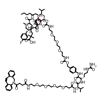 CCCCCCN(C(=O)[C@@H](NC(=O)[C@H]1CCCCN1C)[C@@H](C)CC)[C@H](C[C@@H](OC(=O)NCCOCCOCCOCCNC(=O)OCc1ccc(NC(=O)[C@H](CCCNC(N)=O)NC(=O)[C@@H](NC(=O)CCOCCOCCOCCOCCNC(=O)CCC(=O)N2Cc3ccccc3C#Cc3ccccc32)C(C)C)cc1)c1nc(C(=O)N[C@@H](Cc2ccc(F)cc2)CC(C)(C)C(=O)O)cs1)C(C)C